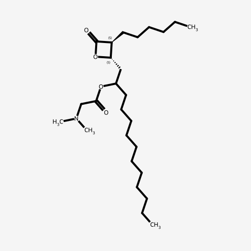 CCCCCCCCCCCC(C[C@@H]1OC(=O)[C@H]1CCCCCC)OC(=O)CN(C)C